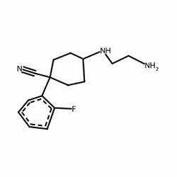 N#CC1(c2ccccc2F)CCC(NCCN)CC1